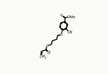 C=CC(=O)OCCCCOc1ccc(C(=O)OC)cc1C#N